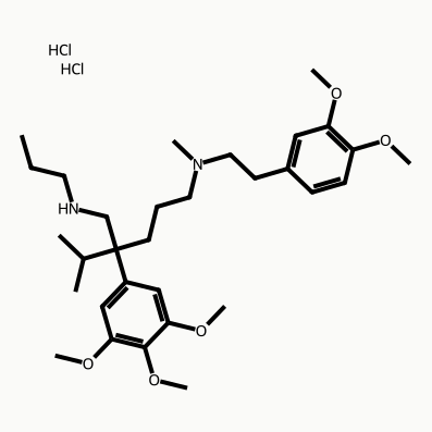 CCCNCC(CCCN(C)CCc1ccc(OC)c(OC)c1)(c1cc(OC)c(OC)c(OC)c1)C(C)C.Cl.Cl